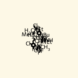 CCNc1nc(Cl)nc(NC(C)(C)C)n1.CCOC(=O)C(Cl)Cc1cc(-n2nc(C)n(C(F)F)c2=O)c(F)cc1Cl.CCc1cccc(C)c1N(C(=O)CCl)C(C)COC